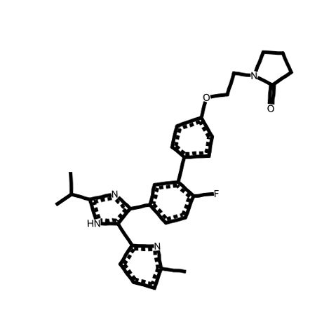 Cc1cccc(-c2[nH]c(C(C)C)nc2-c2ccc(F)c(-c3ccc(OCCN4CCCC4=O)cc3)c2)n1